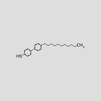 CCCCCCCCCCCc1ccc(-c2ccc(S)cc2)cc1